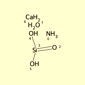 N.O.O=[Si](O)O.[CaH2]